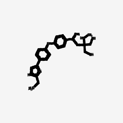 CCc1nc(-c2ccc(Oc3ccc(C(O)CC(CO)(CO)NC)cc3)cc2)c[nH]1